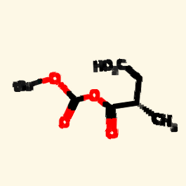 C[C@@H](CC(=O)O)C(=O)OC(=O)OC(C)(C)C